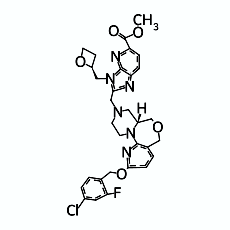 COC(=O)c1ccc2nc(CN3CCN4c5nc(OCc6ccc(Cl)cc6F)ccc5COC[C@H]4C3)n(C[C@@H]3CCO3)c2n1